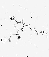 CCCCCC(OCC)OC(=O)C(S)CCC